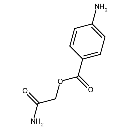 NC(=O)COC(=O)c1ccc(N)cc1